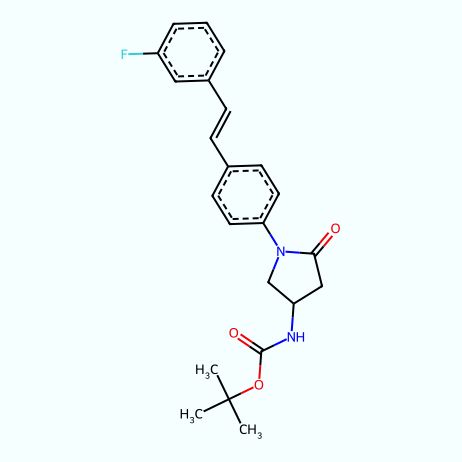 CC(C)(C)OC(=O)NC1CC(=O)N(c2ccc(/C=C/c3cccc(F)c3)cc2)C1